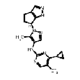 Cc1c(Nc2ncc(C(F)(F)F)c(C3CC3)n2)cnn1[C@H]1CCc2cn[nH]c21